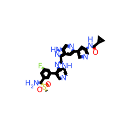 CS(=O)(=O)C(N)c1cc(F)cc(-c2cncc3[nH]c(-c4n[nH]c5cnc(-c6cncc(NC(=O)C7CC7)c6)cc45)nc23)c1